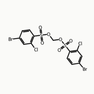 O=S(=O)(OCOS(=O)(=O)c1ccc(Br)cc1Cl)c1ccc(Br)cc1Cl